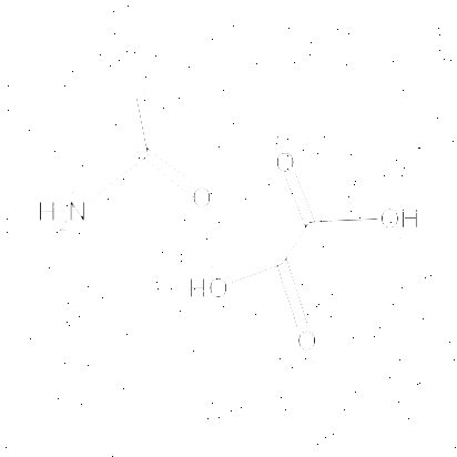 CC(N)=O.O=C(O)C(=O)O